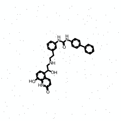 O=C(Nc1ccc(-c2ccccc2)cc1)Nc1cccc(CCNCC(O)c2ccc(O)c3[nH]c(=O)ccc23)c1